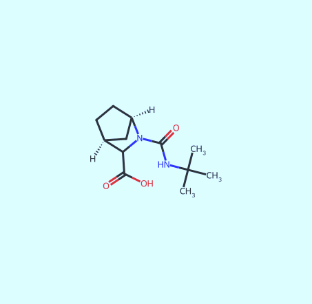 CC(C)(C)NC(=O)N1C(C(=O)O)[C@H]2CC[C@@H]1C2